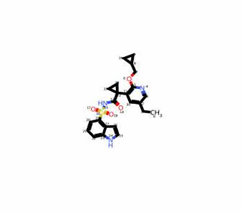 CCc1cnc(OCC2CC2)c(C2(C(=O)NS(=O)(=O)c3cccc4[nH]ccc34)CC2)c1